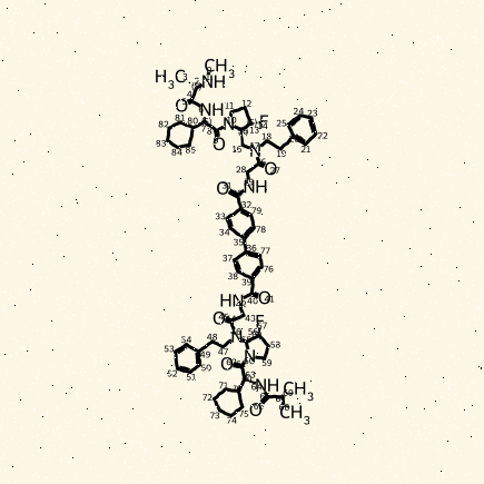 CN[C@@H](C)C(=O)N[C@H](C(=O)N1CC[C@H](F)[C@H]1CN(CCc1ccccc1)C(=O)CNC(=O)c1ccc(-c2ccc(C(=O)NCC(=O)N(CCc3ccccc3)C3[C@@H](F)CCN3C(=O)[C@@H](NC(=O)C(C)C)C3CCCCC3)cc2)cc1)C1CCCCC1